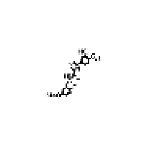 CCOc1ccc(-c2cncc(C(=O)N/N=C/c3cc(OC)ccc3F)n2)cc1O